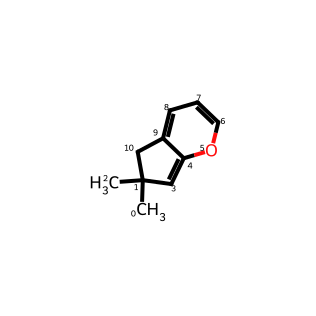 CC1(C)C=C2OC=CC=C2C1